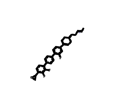 C/C=C/CCC1CC=C(c2ccc(-c3ccc(-c4ccc(C5CO5)c(F)c4F)cc3)c(F)c2)CC1